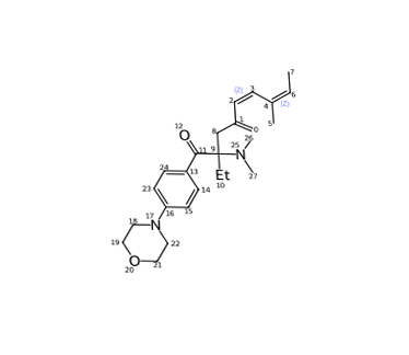 C=C(/C=C\C(C)=C/C)CC(CC)(C(=O)c1ccc(N2CCOCC2)cc1)N(C)C